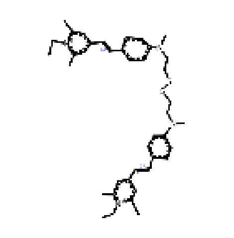 CC[n+]1c(C)cc(/C=C/c2ccc(N(C)CCSSCCN(C)c3ccc(/C=C/c4cc(C)[n+](CC)c(C)c4)cc3)cc2)cc1C